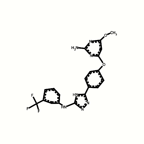 COc1cc(Oc2ccc(-c3nnc(Nc4cccc(C(F)(F)F)c4)[nH]3)cc2)nc(N)n1